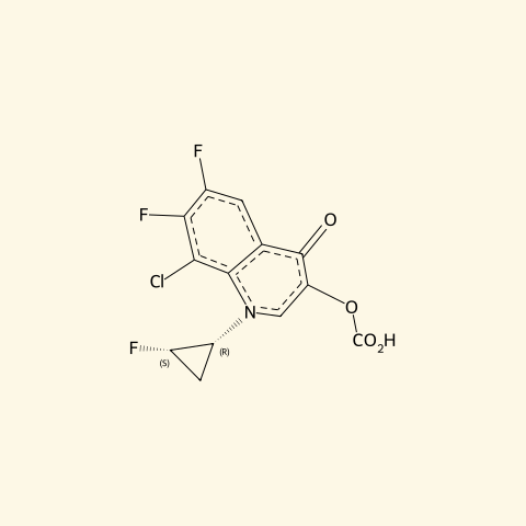 O=C(O)Oc1cn([C@@H]2C[C@@H]2F)c2c(Cl)c(F)c(F)cc2c1=O